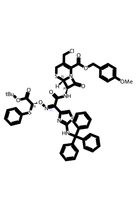 COc1ccc(COC(=O)C2=C(CCl)CS[C@H]3[C@H](NC(=O)/C(=N\O[C@H](Sc4ccccc4)C(=O)OC(C)(C)C)c4csc(NC(c5ccccc5)(c5ccccc5)c5ccccc5)n4)C(=O)N23)cc1